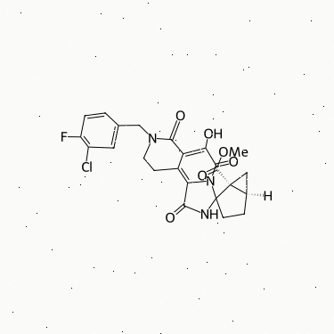 COC(=O)[C@]12C[C@H]1CCC21NC(=O)c2c3c(c(O)c(=O)n21)C(=O)N(Cc1ccc(F)c(Cl)c1)CC3